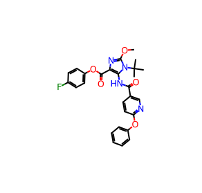 COc1nc(C(=O)Oc2ccc(F)cc2)c(NC(=O)c2ccc(Oc3ccccc3)nc2)n1C(C)(C)C